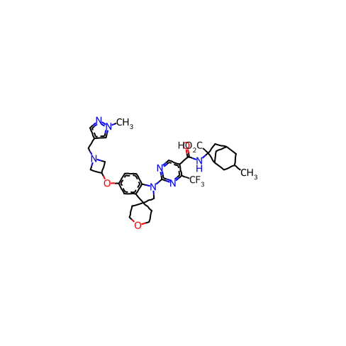 CC1CC2CC(C1)C(NC(=O)c1cnc(N3CC4(CCOCC4)c4cc(OC5CN(Cc6cnn(C)c6)C5)ccc43)nc1C(F)(F)F)(C(=O)O)C2